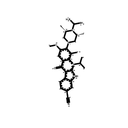 BC(B)N1[C@H](C)CN(c2c(OC)cc3c(=O)c4c5ccc(C#N)cc5[nH]c4n(C(C)C)c3c2F)C[C@@H]1C